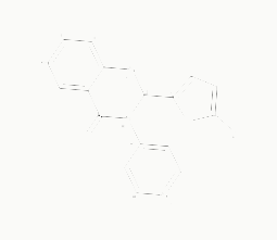 Cc1ccc(C2Nc3ccccc3C(=O)N2c2ccncc2)s1